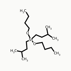 CCCC[O][Sn]([CH2]CC(C)C)([CH2]CC(C)C)[O]CCCC